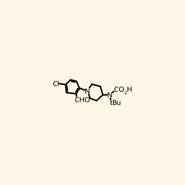 CC(C)(C)N(C(=O)O)C1CCN(c2ccc(Cl)cc2C=O)CC1